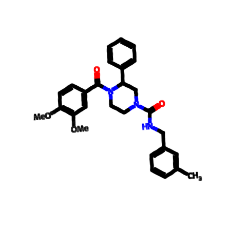 COc1ccc(C(=O)N2CCN(C(=O)NCc3cccc(C)c3)CC2c2ccccc2)cc1OC